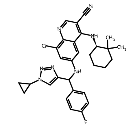 CC1(C)CCCC[C@H]1Nc1c(C#N)cnc2c(Cl)cc(NC(c3ccc(F)cc3)c3cn(C4CC4)nn3)cc12